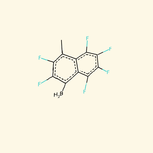 Bc1c(F)c(F)c(C)c2c(F)c(F)c(F)c(F)c12